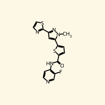 Cn1nc(-c2nccs2)cc1-c1ccc(C(=O)Nc2ccncc2F)s1